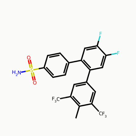 Cc1c(C(F)(F)F)cc(-c2cc(F)c(F)cc2-c2ccc(S(N)(=O)=O)cc2)cc1C(F)(F)F